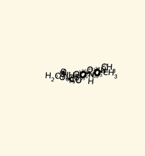 C=CS(=O)(=O)NC[C@H]1CCN(S(=O)(=O)c2ccc(C(=O)Nc3ccc(N(C)C)cc3)cc2)C1